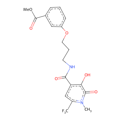 COC(=O)c1cccc(OCCCNC(=O)c2cc(C(F)(F)F)n(C)c(=O)c2O)c1